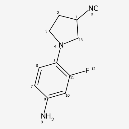 [C-]#[N+]C1CCN(c2ccc(N)cc2F)C1